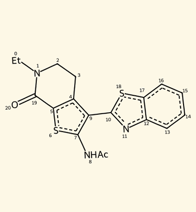 CCN1CCc2c(sc(NC(C)=O)c2-c2nc3ccccc3s2)C1=O